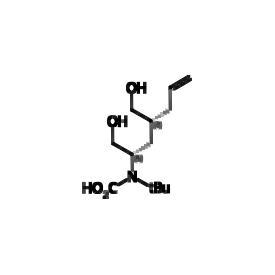 C=CC[C@@H](CO)C[C@@H](CO)N(C(=O)O)C(C)(C)C